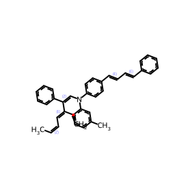 C=CC(=C\C=C/C)/C(=C\N(c1ccc(/C=C/C=C/c2ccccc2)cc1)c1cccc(C)c1)c1ccccc1